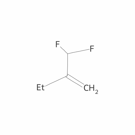 C=C(CC)C(F)F